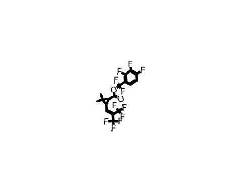 CC1(C)C(C=C(C(F)(F)F)C(F)(F)F)C1C(=O)OC(F)(F)c1ccc(F)c(F)c1F